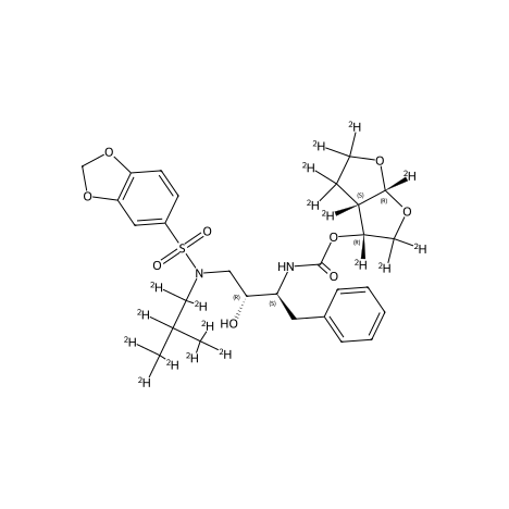 [2H]C([2H])([2H])C([2H])(C([2H])([2H])[2H])C([2H])([2H])N(C[C@@H](O)[C@H](Cc1ccccc1)NC(=O)O[C@@]1([2H])C([2H])([2H])O[C@@]2([2H])OC([2H])([2H])C([2H])([2H])[C@]21[2H])S(=O)(=O)c1ccc2c(c1)OCO2